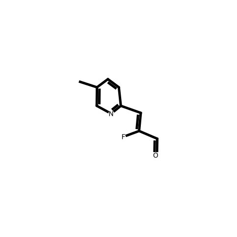 Cc1ccc(C=C(F)C=O)nc1